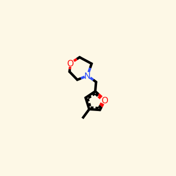 Cc1coc(CN2CCOCC2)c1